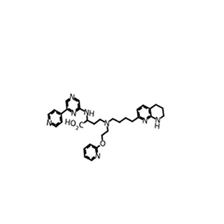 O=C(O)C(CCN(CCCCc1ccc2c(n1)NCCC2)CCOc1ccccn1)Nc1cncc(-c2ccncc2)n1